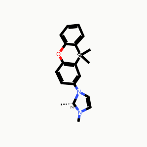 C[C@H]1N(C)C=CN1c1ccc2c(c1)[Si](C)(C)c1ccccc1O2